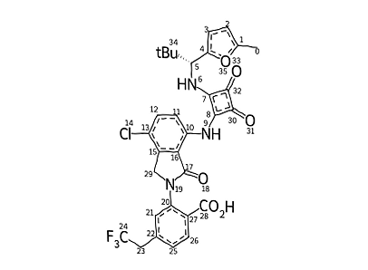 Cc1ccc([C@H](Nc2c(Nc3ccc(Cl)c4c3C(=O)N(c3cc(CC(F)(F)F)ccc3C(=O)O)C4)c(=O)c2=O)C(C)(C)C)o1